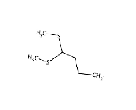 [CH2]CCC(SC)SC